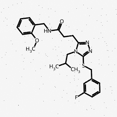 COc1ccccc1CNC(=O)CCc1nnc(SCc2cccc(F)c2)n1CC(C)C